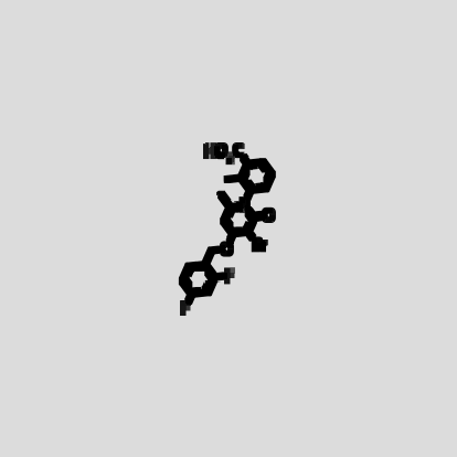 Cc1c(C(=O)O)cccc1-n1c(C)cc(OCc2ccc(F)cc2F)c(Br)c1=O